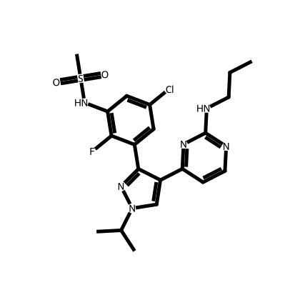 CCCNc1nccc(-c2cn(C(C)C)nc2-c2cc(Cl)cc(NS(C)(=O)=O)c2F)n1